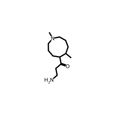 CC1CCCN(C)CCCC1C(=O)CCN